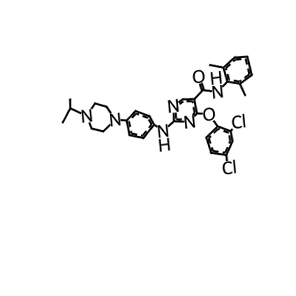 Cc1cccc(C)c1NC(=O)c1cnc(Nc2ccc(N3CCN(C(C)C)CC3)cc2)nc1Oc1ccc(Cl)cc1Cl